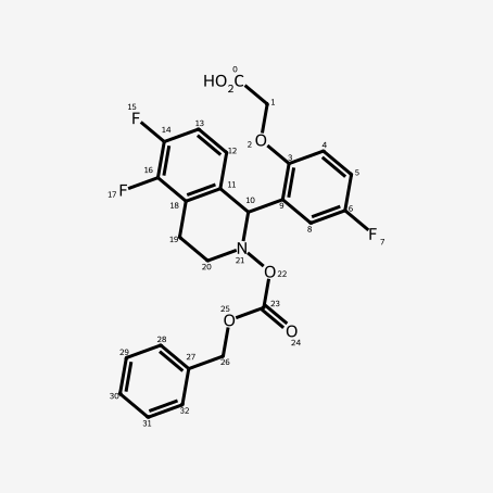 O=C(O)COc1ccc(F)cc1C1c2ccc(F)c(F)c2CCN1OC(=O)OCc1ccccc1